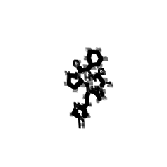 CCN(CCc1c[nH]cn1)C[C@@H]1CCCN1C(=O)[C@@H](NC(=O)[C@H](C)NC)C1CCCCC1